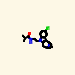 CC(C)C(=O)NCCn1c2c(c3cc(Cl)ccc31)C1CCC(C2)N1C